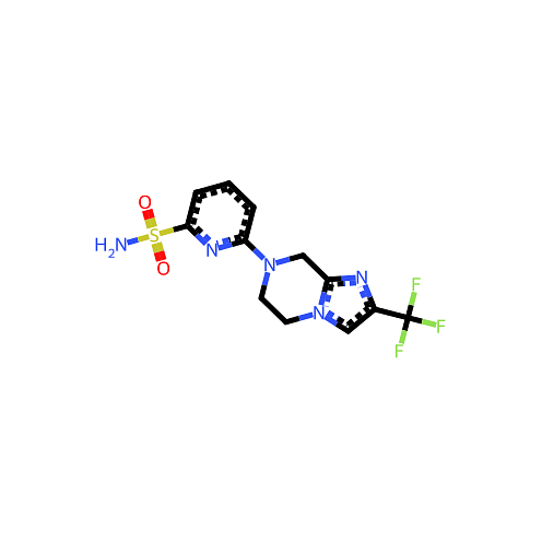 NS(=O)(=O)c1cccc(N2CCn3cc(C(F)(F)F)nc3C2)n1